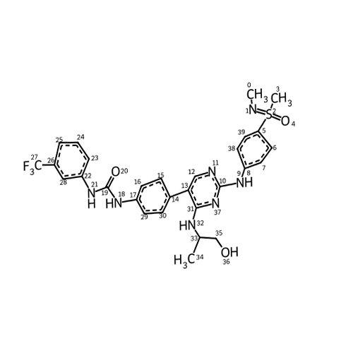 CN=S(C)(=O)c1ccc(Nc2ncc(-c3ccc(NC(=O)Nc4cccc(C(F)(F)F)c4)cc3)c(NC(C)CO)n2)cc1